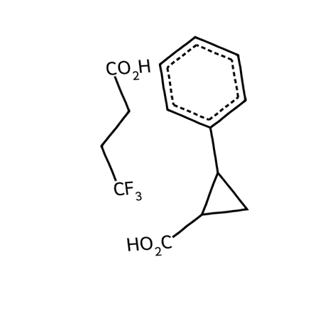 O=C(O)C1CC1c1ccccc1.O=C(O)CCC(F)(F)F